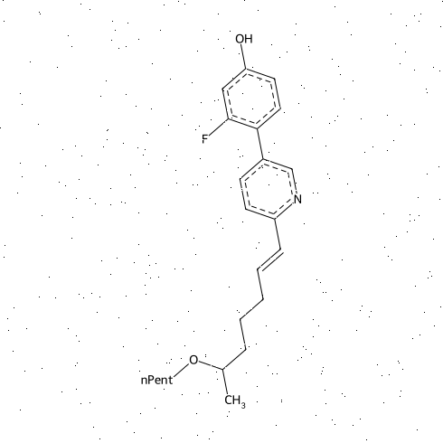 CCCCCOC(C)CCC/C=C/c1ccc(-c2ccc(O)cc2F)cn1